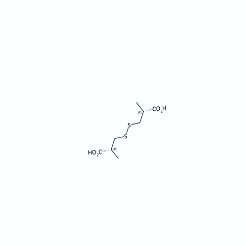 C[C@@H](CSSC[C@H](C)C(=O)O)C(=O)O